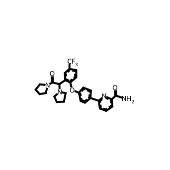 NC(=O)c1cccc(-c2ccc(Oc3ccc(C(F)(F)F)cc3C(C(=O)N3CCCC3)N3CCCC3)cc2)n1